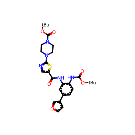 CC(C)(C)OC(=O)Nc1ccc(-c2ccoc2)cc1NC(=O)c1cnc(N2CCN(C(=O)OC(C)(C)C)CC2)s1